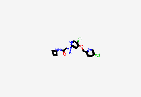 O=C(CNc1cc(OCc2ccc(Cl)cn2)c(Cl)cn1)NC1CCC1